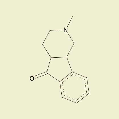 CN1CCC2C(=O)c3ccccc3C2C1